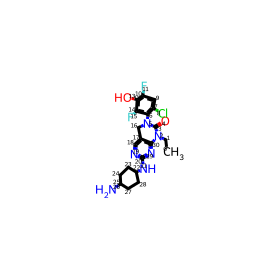 CCN1C(=O)N(c2c(Cl)cc(F)c(O)c2F)Cc2cnc(NC3CCC(N)CC3)nc21